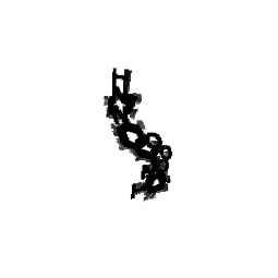 O=c1oc2cc(N3CCNCC3)ccc2cc1-c1nc2c(F)cccc2o1